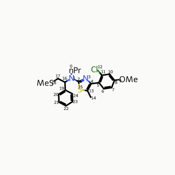 CCCN(c1nc(-c2ccc(OC)cc2Cl)c(C)s1)C(CSC)c1ccccc1